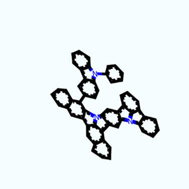 c1ccc(-n2c3ccccc3c3cc(-c4c5ccccc5cc5c6cc7ccccc7c7c8cc9c(cc8n(c45)c67)c4cccc5c6ccccc6n9c54)ccc32)cc1